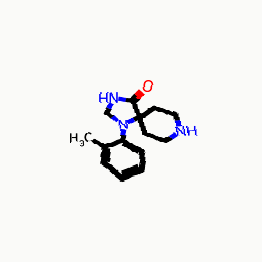 Cc1ccccc1N1CNC(=O)C12CCNCC2